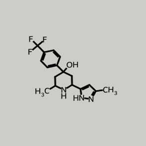 Cc1cc(C2CC(O)(c3ccc(C(F)(F)F)cc3)CC(C)N2)[nH]n1